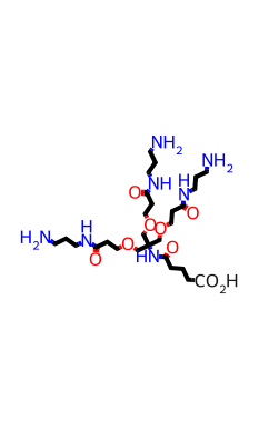 NCCCNC(=O)CCOCC(COCCC(=O)NCCCN)(COCCC(=O)NCCCN)NC(=O)CCCC(=O)O